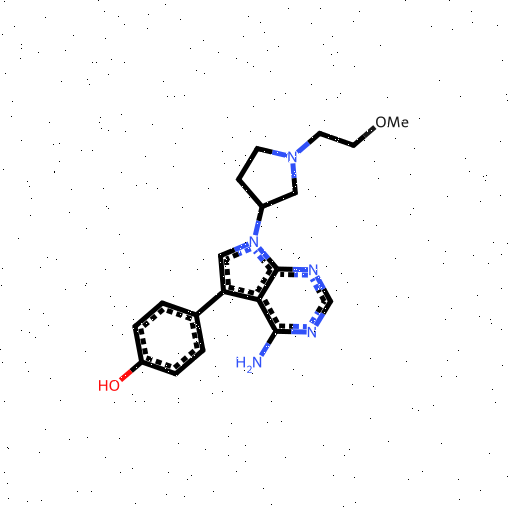 COCCN1CCC(n2cc(-c3ccc(O)cc3)c3c(N)ncnc32)C1